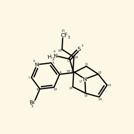 NC(=S)C1(c2cncc(Br)c2)CC2C=CC(C1)N2CCCC(F)(F)F